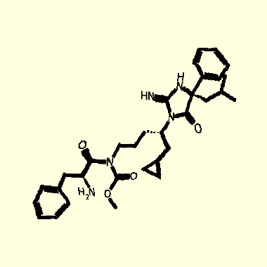 COC(=O)N(CCC[C@@H](CC1CC1)N1C(=N)N[C@](CC(C)C)(c2ccccc2)C1=O)C(=O)[C@@H](N)Cc1ccccc1